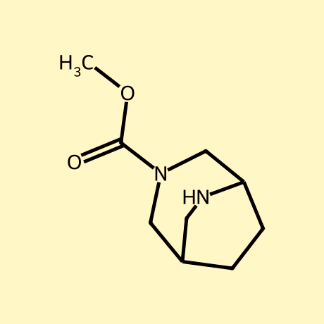 COC(=O)N1CC2CCC(C1)NC2